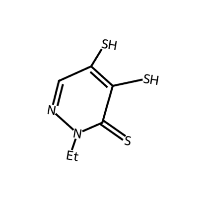 CCn1ncc(S)c(S)c1=S